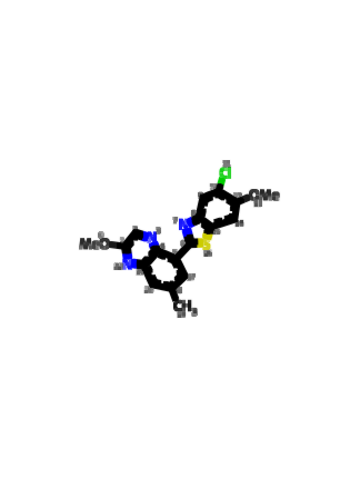 COc1cnc2c(-c3nc4cc(Cl)c(OC)cc4s3)cc(C)cc2n1